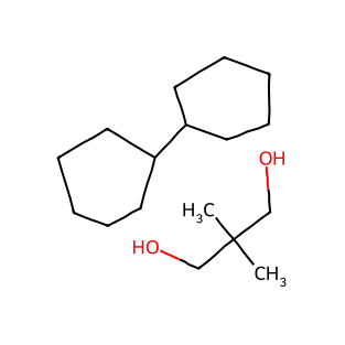 C1CCC(C2CCCCC2)CC1.CC(C)(CO)CO